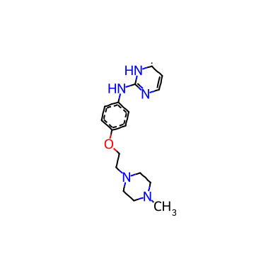 CN1CCN(CCOc2ccc(NC3=NC=C[CH]N3)cc2)CC1